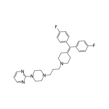 Fc1ccc(C(=C2CCN(CCCN3CCN(c4ncccn4)CC3)CC2)c2ccc(F)cc2)cc1